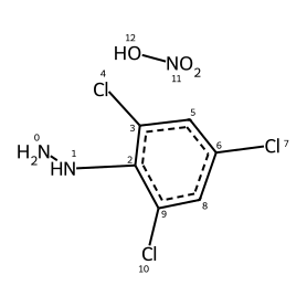 NNc1c(Cl)cc(Cl)cc1Cl.O=[N+]([O-])O